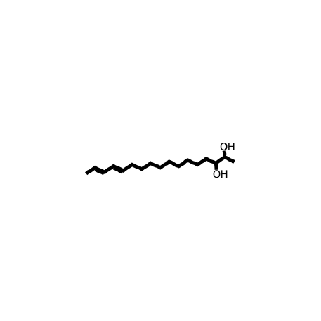 CC=CC=CCCCCCCCCCC(O)C(C)O